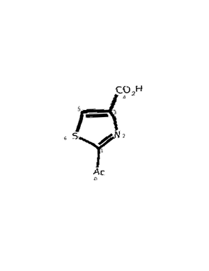 CC(=O)c1nc(C(=O)O)cs1